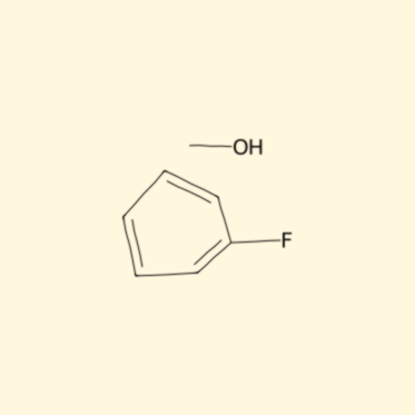 CO.Fc1ccccc1